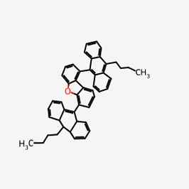 CCCCc1c2ccccc2c(-c2cccc3oc4c(C5=C6C=CC=CC6C(CCCC)C6C=CC=CC56)cccc4c23)c2ccccc12